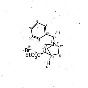 CCOC(=O)[C@H]1C[N+]2([C@@H](C)c3ccccc3)CC[C@@H]1C2.[Br-]